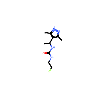 Cc1n[nH]c(C)c1C(C)NC(=O)NCCF